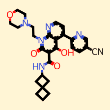 N#Cc1ccc(-c2ccnc3c2c(O)c(C(=O)NC2CC4(CCC4)C2)c(=O)n3CCN2CCOCC2)nc1